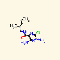 CCC[C@H](C)CNC(=O)c1nc(Cl)c(N)nc1N